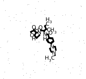 CC[C@H](C)C(NC(=O)c1ccc(N2CCN(CC)CC2)cc1)C(=O)N1CC[C@H]2OCC(=O)[C@H]21